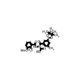 CCC(N(NC(=O)c1cccc(OC)c1C)C(=O)c1cc(C)cc(B2OC(C)(C)C(C)(C)O2)c1)C(C)(C)C